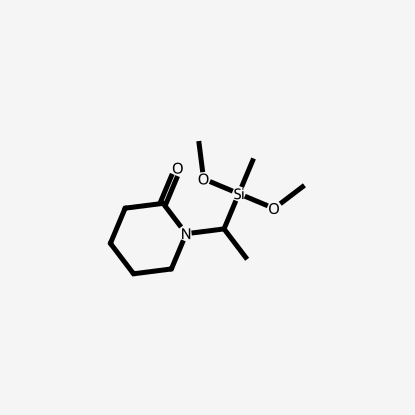 CO[Si](C)(OC)C(C)N1CCCCC1=O